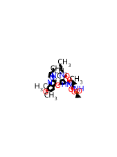 CCCCCN(C)C(=O)[C@@H]1C[C@H](Oc2cc(-n3ccc(C(C)C)n3)nc3c(C)c(OC)ccc23)C[C@H]1C(=O)N[C@]1(C(=O)NS(=O)(=O)C2CC2)C[C@H]1C